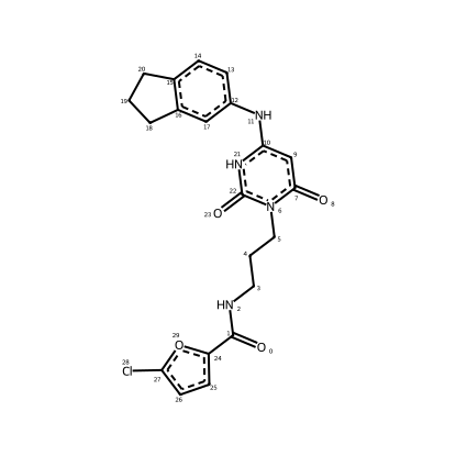 O=C(NCCCn1c(=O)cc(Nc2ccc3c(c2)CCC3)[nH]c1=O)c1ccc(Cl)o1